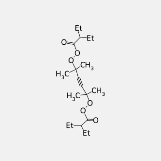 CCC(CC)C(=O)OOC(C)(C)C#CC(C)(C)OOC(=O)C(CC)CC